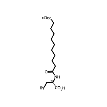 CCCCCCCCCCCCCCCCCCCC(=O)N[C@@H](CC(C)C)C(=O)O